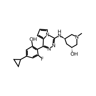 CN1C[C@H](O)C[C@@H](Nc2nnc(-c3c(O)cc(C4CC4)cc3F)c3cccn23)C1